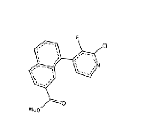 COC(=O)c1ccc2cccc(-c3ccnc(Cl)c3F)c2c1